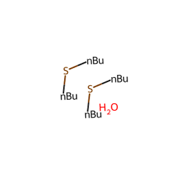 CCCCSCCCC.CCCCSCCCC.O